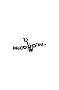 C=C\C=C/C(/C=C/c1nc(-c2ccc(OC)cc2)c2nonc2c1-c1ccc(OC)cc1)=C\C